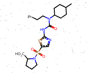 CC(C)CCN(C(=O)Nc1ncc(S(=O)(=O)N2CCCC2C(=O)O)s1)C1CCC(C)CC1